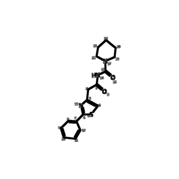 O=C(Cc1csc(-c2ccccc2)n1)NC(=O)N1CCCCC1